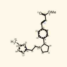 COC(=O)/C=C/c1ccc(C2CCCN2CCc2nnn(C)n2)cc1